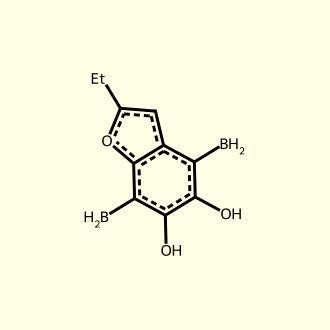 Bc1c(O)c(O)c(B)c2oc(CC)cc12